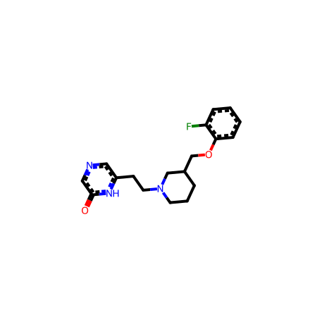 O=c1cncc(CCN2CCCC(COc3ccccc3F)C2)[nH]1